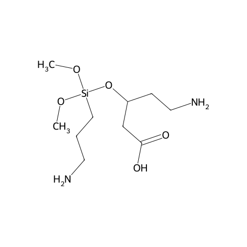 CO[Si](CCCN)(OC)OC(CCN)CC(=O)O